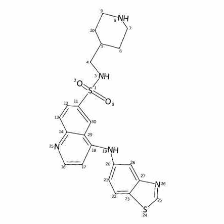 O=S(=O)(NCC1CCNCC1)c1ccc2nccc(Nc3ccc4scnc4c3)c2c1